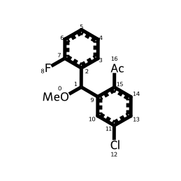 COC(c1ccccc1F)c1cc(Cl)ccc1C(C)=O